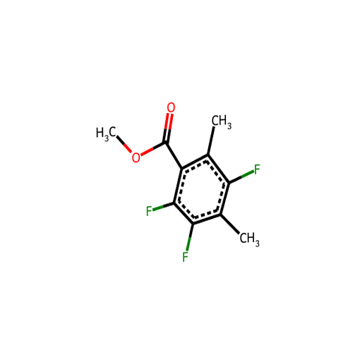 COC(=O)c1c(C)c(F)c(C)c(F)c1F